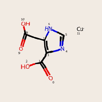 O=C(O)c1nc[nH]c1C(=O)O.[Cu]